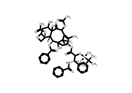 CC(=O)OC1C(=O)C2(C)C(O)CC3OC[C@@]3(OC(C)=O)[C@H]2[C@H](OC(=O)c2ccccc2)C2(O)C[C@H](OC(=O)C(O[Si](C)(C)C(C)(C)C)[C@@H](NC(=O)c3ccccc3)c3ccccc3)C(C)=C1C2(C)C